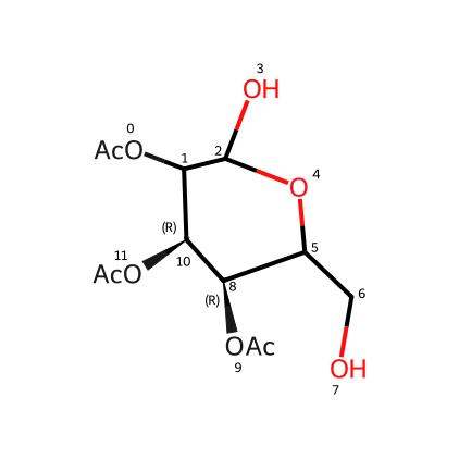 CC(=O)OC1C(O)OC(CO)[C@@H](OC(C)=O)[C@H]1OC(C)=O